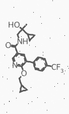 CC(O)(CNC(=O)c1cnc(OCC2CC2)c(-c2ccc(C(F)(F)F)cc2)c1)C1CC1